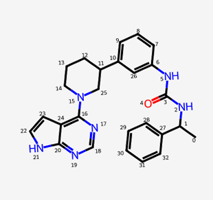 CC(NC(=O)Nc1cccc(C2CCCN(c3ncnc4[nH]ccc34)C2)c1)c1ccccc1